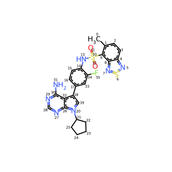 Cc1ccc2nsnc2c1S(=O)(=O)Nc1ccc(-c2cn(C3CCCC3)c3ncnc(N)c23)cc1F